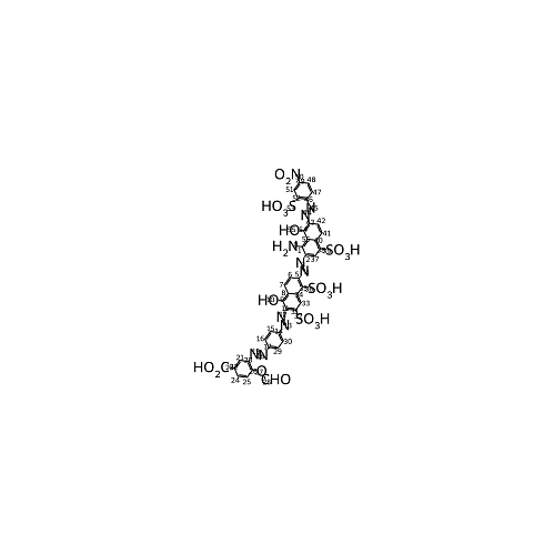 Nc1c(N=Nc2ccc3c(O)c(N=Nc4ccc(N=Nc5cc(C(=O)O)ccc5OC=O)cc4)c(S(=O)(=O)O)cc3c2S(=O)(=O)O)cc(S(=O)(=O)O)c2ccc(N=Nc3ccc([N+](=O)[O-])cc3S(=O)(=O)O)c(O)c12